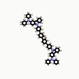 c1ccc(N(c2ccccc2)c2ccc3c(c2)c2ccccc2n3-c2ccc(-c3ccc4c(c3)sc3cc(-c5ccc(-n6c7ccccc7c7cc(N(c8ccccc8)c8ccccc8)ccc76)cc5)ccc34)cc2)cc1